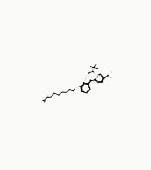 CC(C)(C)[C@@H]1Cn2nc3c(OCCCCCCCCC(=O)O)cccc3c2-c2cc(=O)c(C(=O)O)cn21